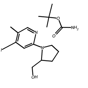 CC(C)(C)OC(N)=O.Cc1cnc(N2CCCC2CO)cc1I